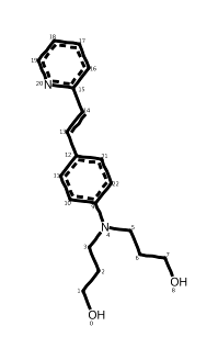 OCCCN(CCCO)c1ccc(C=Cc2ccccn2)cc1